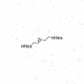 CCCCCCC[CH2][Zr][CH2]CCCCCCC